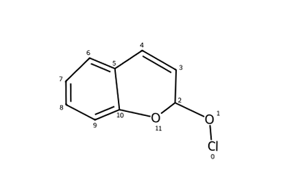 ClOC1C=Cc2ccccc2O1